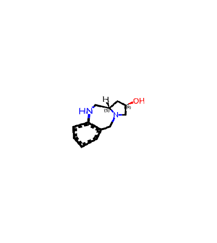 O[C@@H]1C[C@H]2CNc3ccccc3CN2C1